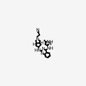 Cc1cc(Nc2nc(NC3C[C@@H]4CN(CCC#N)C[C@@H]4C3)nc3ccccc23)n[nH]1